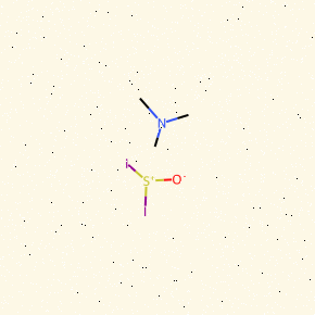 CN(C)C.[O-][S+](I)I